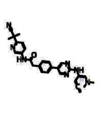 C=C=C/C(=C\N(C)C)Nc1ncc(-c2ccc(CC(=O)Nc3ccc(C(C)(C)C#N)nc3)cc2)cn1